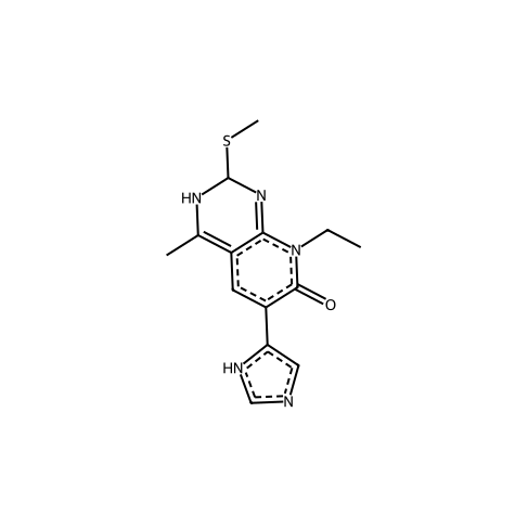 CCn1c(=O)c(-c2cnc[nH]2)cc2c1=NC(SC)NC=2C